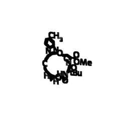 COC(=O)[C@@H]1CC2CN1C(=O)[C@H](C(C)(C)C)NC(=O)O[C@@H]1C[C@H]1CCCCCc1nc3ccc(C)cc3nc1O2